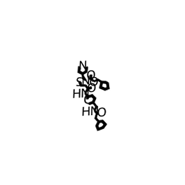 O=C(Cc1ccccc1)NCc1ccc(NC(=O)C2CSC(c3ccncc3)N2C(=O)OCc2ccccc2)cc1